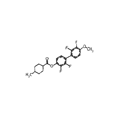 COc1ccc(-c2ccc(OC(=O)C3CCC(C)CC3)c(F)c2F)c(F)c1F